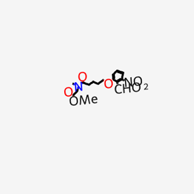 COC(=O)CN(C)C(=O)CCCCOc1cccc([N+](=O)[O-])c1C=O